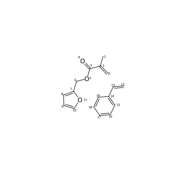 C=C(C)C(=O)OCc1ccco1.C=Cc1ccccc1